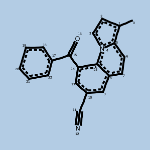 Cc1ccn2c1ccc1cc(C#N)cc(C(=O)c3ccccc3)c12